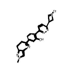 CCN1CC(c2ccc(-c3ccc(-c4ccc5nn(C)cc5n4)cc3O)nn2)C1